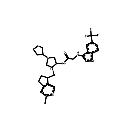 Cc1cc2c(cn1)C(C[C@H]1CN(C3CCOC3)CC1NC(=O)CNc1n[nH]c3ccc(C(F)(F)F)cc13)CC2